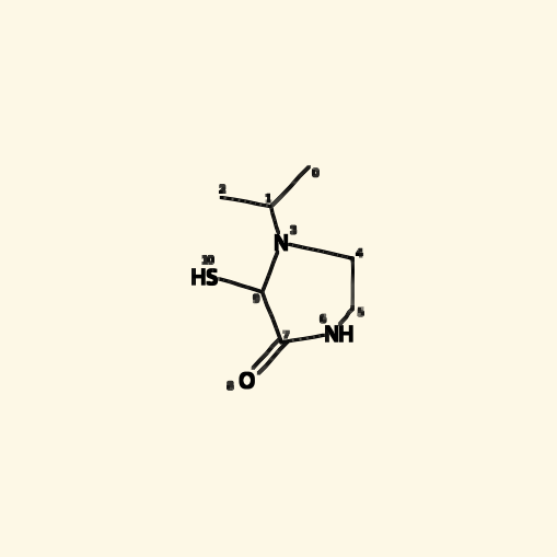 CC(C)N1CCNC(=O)C1S